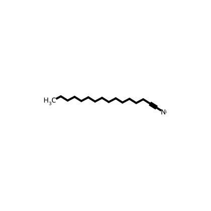 CCCCCCCCCCCCCCC#C[N]